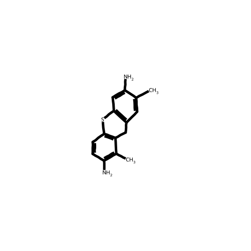 Cc1cc2c(cc1N)Sc1ccc(N)c(C)c1C2